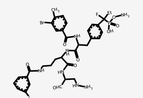 CCC(F)(c1ccc(CC(NC(=O)c2ccc(C)c(Br)c2)C(=O)NC(CCCNC(=O)c2cccc(I)c2)C(=O)NC(C=O)CNN)cc1)P(=O)(O)ON